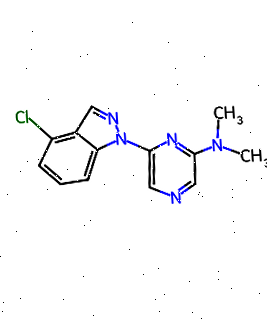 CN(C)c1cncc(-n2ncc3c(Cl)cccc32)n1